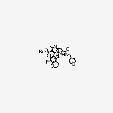 Cc1nc2cc(C(=O)NCC3CCOCC3)nn2c(-c2cc(F)c3c(c2C)CCCO3)c1[C@H](OC(C)(C)C)C(=O)O